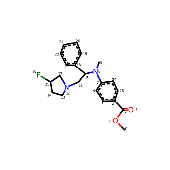 COC(=O)c1ccc(N(C)C(CN2CCC(F)C2)c2ccccc2)cc1